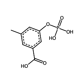 Cc1cc(OP(=O)(O)O)cc(C(=O)O)c1